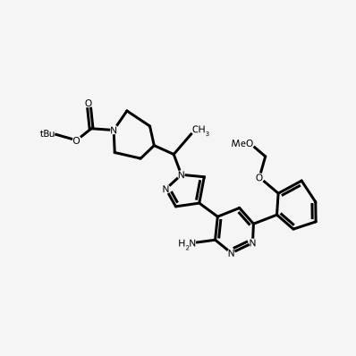 COCOc1ccccc1-c1cc(-c2cnn(C(C)C3CCN(C(=O)OC(C)(C)C)CC3)c2)c(N)nn1